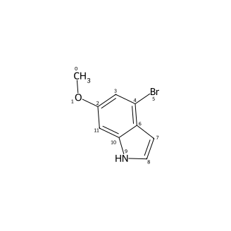 COc1cc(Br)c2cc[nH]c2c1